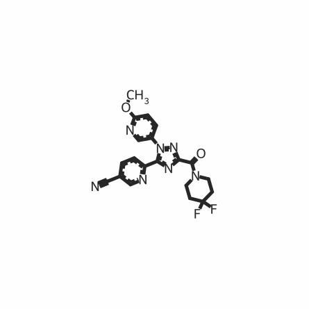 COc1ccc(-n2nc(C(=O)N3CCC(F)(F)CC3)nc2-c2ccc(C#N)cn2)cn1